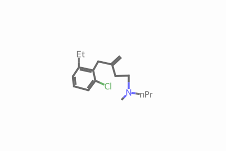 C=C(CCN(C)CCC)Cc1c(Cl)cccc1CC